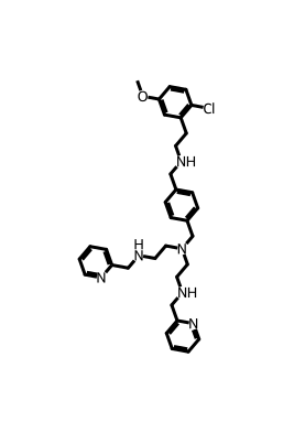 COc1ccc(Cl)c(CCNCc2ccc(CN(CCNCc3ccccn3)CCNCc3ccccn3)cc2)c1